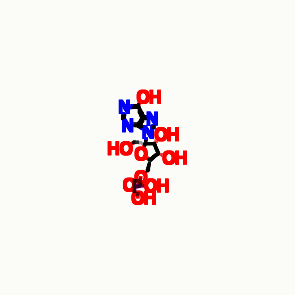 O=P(O)(O)OC[C@H]1O[C@@](CO)(n2cnc3c(O)ncnc32)[C@H](O)[C@@H]1O